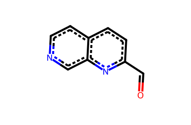 O=Cc1ccc2ccncc2n1